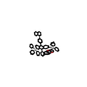 c1ccc([Si](c2ccccc2)(c2ccccc2)c2ccc3c(-c4ccc(-c5cccc6ccccc56)cc4)c4ccc([Si](c5ccccc5)(c5ccccc5)c5ccccc5)cc4c(-c4cccc5ccccc45)c3c2)cc1